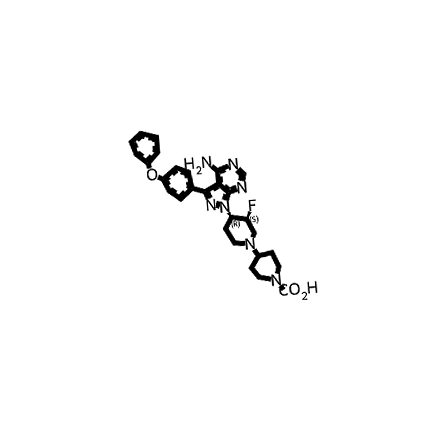 Nc1ncnc2c1c(-c1ccc(Oc3ccccc3)cc1)nn2[C@@H]1CCN(C2CCN(C(=O)O)CC2)C[C@@H]1F